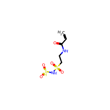 C=CC(=O)NCCS(=O)(=O)N[SH](=O)=O